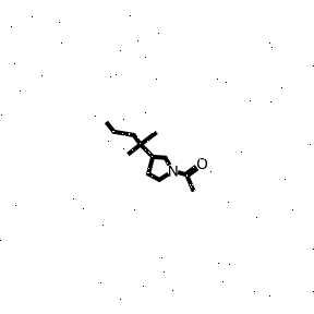 CCCC(C)(C)C1CCN(C(C)=O)C1